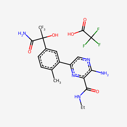 CCNC(=O)c1nc(-c2cc(C(O)(C(N)=O)C(F)(F)F)ccc2C)cnc1N.O=C(O)C(F)(F)F